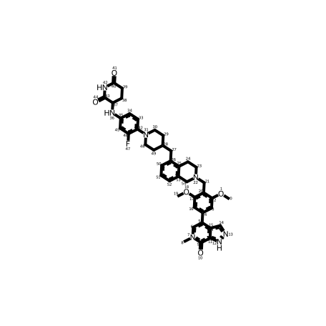 COc1cc(-c2cn(C)c(=O)c3[nH]ncc23)cc(OC)c1CN1CCc2c(CC3CCN(c4ccc(NC5CCC(=O)NC5=O)cc4F)CC3)cccc2C1